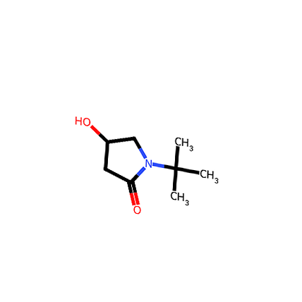 CC(C)(C)N1CC(O)CC1=O